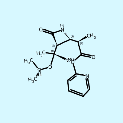 C[C@@H](C(=O)Oc1ccccn1)[C@H]1NC(=O)[C@@H]1[C@@](C)(O[SiH](C)C)C(C)(C)C